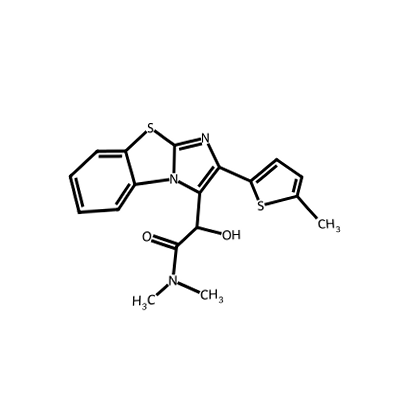 Cc1ccc(-c2nc3sc4ccccc4n3c2C(O)C(=O)N(C)C)s1